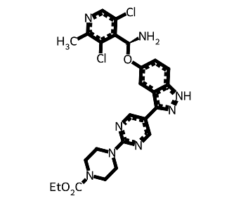 CCOC(=O)N1CCN(c2ncc(-c3n[nH]c4ccc(O[C@H](N)c5c(Cl)cnc(C)c5Cl)cc34)cn2)CC1